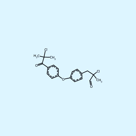 CC(Cl)(C=O)Cc1ccc(Oc2ccc(C(=O)C(C)(C)Cl)cc2)cc1